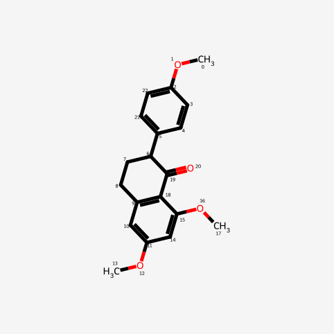 COc1ccc(C2CCc3cc(OC)cc(OC)c3C2=O)cc1